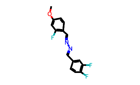 COc1ccc(/C=N/N=C/c2ccc(F)c(F)c2)c(F)c1